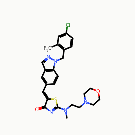 CN(CCN1CCOCC1)C1=NC(=O)/C(=C/c2ccc3c(cnn3Cc3ccc(Cl)cc3C(F)(F)F)c2)S1